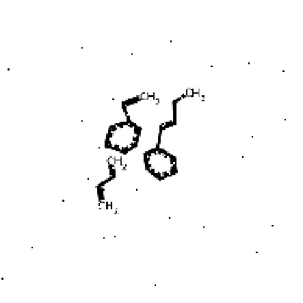 C=CC=C.C=Cc1ccccc1.CCC=Cc1ccccc1